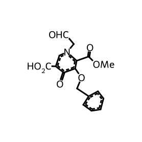 COC(=O)c1c(OCc2ccccc2)c(=O)c(C(=O)O)cn1CC=O